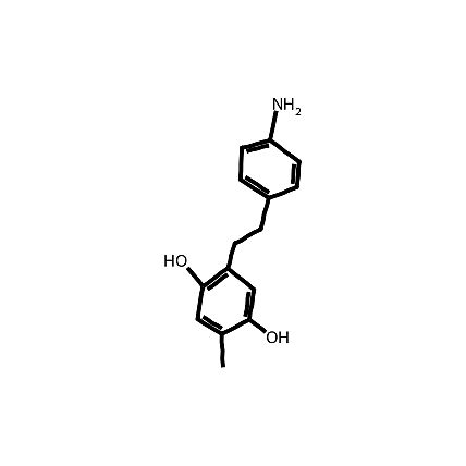 Cc1cc(O)c(CCc2ccc(N)cc2)cc1O